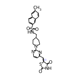 Cc1ccc2cc(S(=O)(=O)NCC3CCN(c4nccc(/C=C5\SC(=O)NC5=O)n4)CC3)ccc2c1